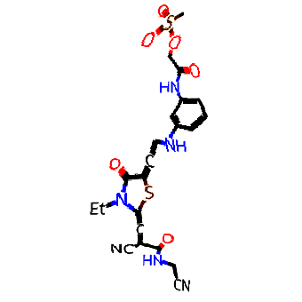 CCn1c(=C=C(C#N)C(=O)NCC#N)sc(=C=CNc2cccc(NC(=O)COS(C)(=O)=O)c2)c1=O